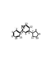 c1ccc(-c2cc(C3CCCC3)ccn2)cc1